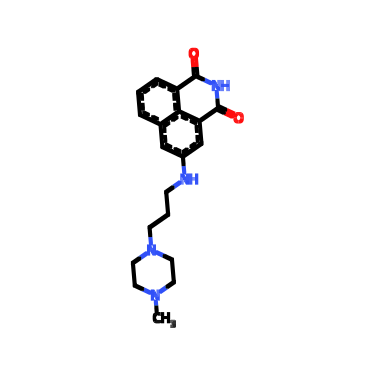 CN1CCN(CCCNc2cc3c4c(cccc4c2)C(=O)NC3=O)CC1